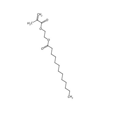 C=C(C)C(=O)OCCOC(=O)CCCCCCCCCCCC